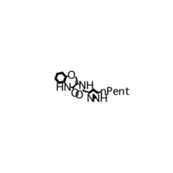 CCCCCc1cc(C(=O)N[C@H]2COc3ccccc3NC2=O)n[nH]1